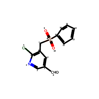 O=Cc1cnc(Cl)c(CS(=O)(=O)c2ccccc2)c1